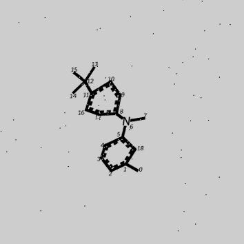 Cc1cccc(N(C)c2ccc(C(C)(C)C)cc2)c1